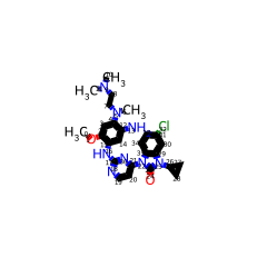 COc1cc(N(C)CCN(C)C)c(N)cc1Nc1nccc(-n2c(=O)n(C3CC3)c3cc(Cl)ccc32)n1